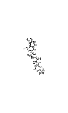 CCc1cc(-c2cc(NC(=O)Cc3cccc(C(F)(F)F)c3)nn2C)cc2cnc(N)nc12